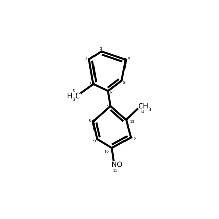 Cc1ccccc1-c1ccc(N=O)cc1C